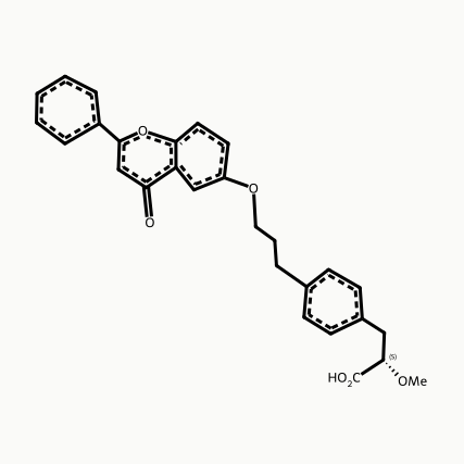 CO[C@@H](Cc1ccc(CCCOc2ccc3oc(-c4ccccc4)cc(=O)c3c2)cc1)C(=O)O